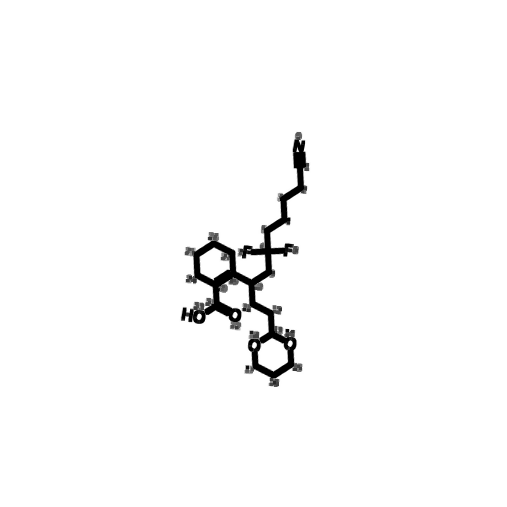 N#CCCCCC(F)(F)CC(CCC1OCCCO1)C1=C(C(=O)O)CCCC1